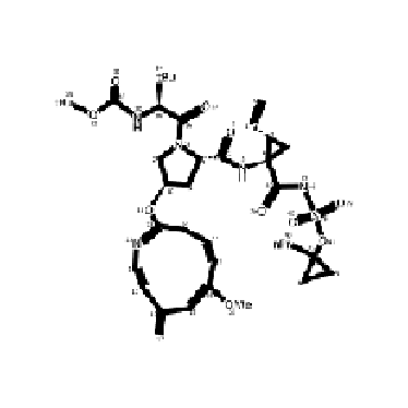 C=C[C@@H]1C[C@]1(NC(=O)[C@@H]1C[C@@H](O/C2=N/C=C\C(=C)/C=C(OC)\C=C/C2)CN1C(=O)[C@@H](NC(=O)OC(C)(C)C)C(C)(C)C)C(=O)NS(=O)(=O)OC1(CCC)CC1